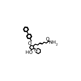 NC(=O)CC/C=C/CCC1C(OCc2ccc(-c3ccccc3)cc2)CC(O)C1N1CCCCC1